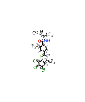 O=C(O)CC(NC(=O)c1ccc(/C(F)=C/C(c2cc(Cl)c(Cl)c(Cl)c2)C(F)(F)F)cc1C(F)(F)F)C(F)(F)F